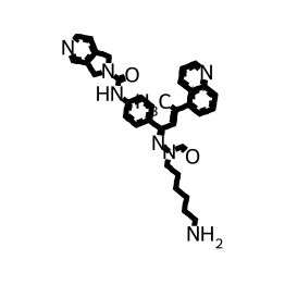 C/C(=C\C(=N/N(C=O)CCCCCCN)c1ccc(NC(=O)N2Cc3ccncc3C2)cc1)c1cccc2ncccc12